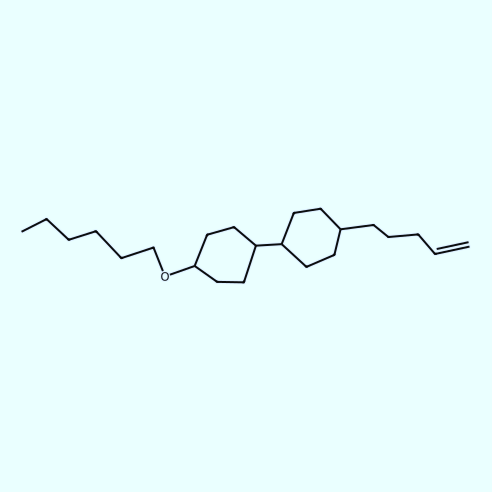 C=CCCCC1CCC(C2CCC(OCCCCCC)CC2)CC1